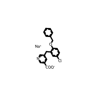 O=C([O-])c1cncc(Cc2cc(Cl)ccc2OCc2ccccc2)c1.[Na+]